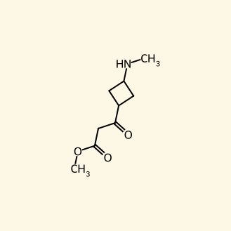 CNC1CC(C(=O)CC(=O)OC)C1